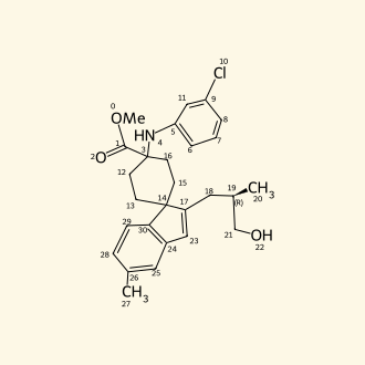 COC(=O)C1(Nc2cccc(Cl)c2)CCC2(CC1)C(C[C@@H](C)CO)=Cc1cc(C)ccc12